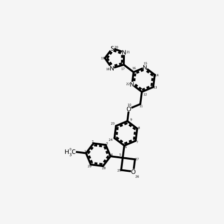 Cc1ccc(C2(c3ccc(OCc4ccnc(-c5ncsn5)n4)cc3)COC2)cc1